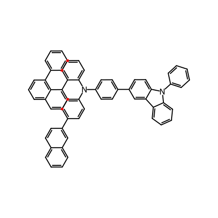 c1ccc(-c2cccc3cccc(-c4ccccc4N(c4ccc(-c5ccc6ccccc6c5)cc4)c4ccc(-c5ccc6c(c5)c5ccccc5n6-c5ccccc5)cc4)c23)cc1